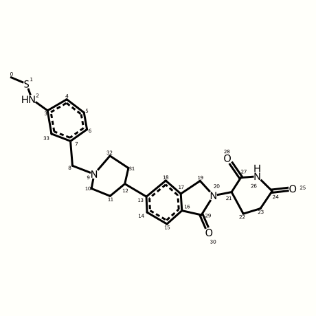 CSNc1cccc(CN2CCC(c3ccc4c(c3)CN(C3CCC(=O)NC3=O)C4=O)CC2)c1